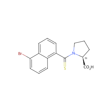 O=C(O)[C@@H]1CCCN1C(=S)c1cccc2c(Br)cccc12